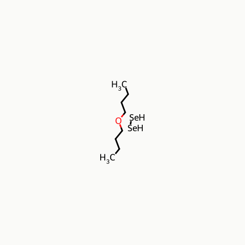 CCCCOCCCC.[SeH][SeH]